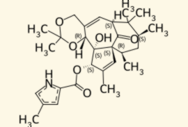 CC1=C[C@]23C(=O)[C@@H](C=C4COC(C)(C)O[C@H]4[C@]2(O)[C@H]1OC(=O)c1cc(C)c[nH]1)C(C)(C)[C@@H](C)C[C@H]3C